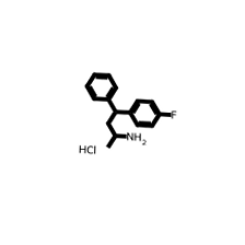 CC(N)CC(c1ccccc1)c1ccc(F)cc1.Cl